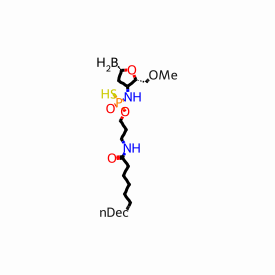 B[C@H]1CC(NP(=O)(S)OCCCNC(=O)CCCCCCCCCCCCCCC)[C@@H](COC)O1